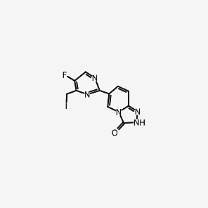 O=c1[nH]nc2ccc(-c3ncc(F)c(CI)n3)cn12